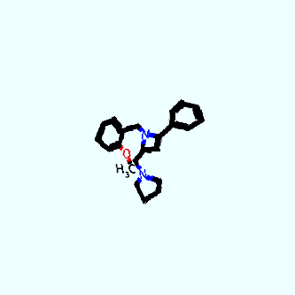 COc1ccccc1CN1C(CN2CCCC2)CC1c1ccccc1